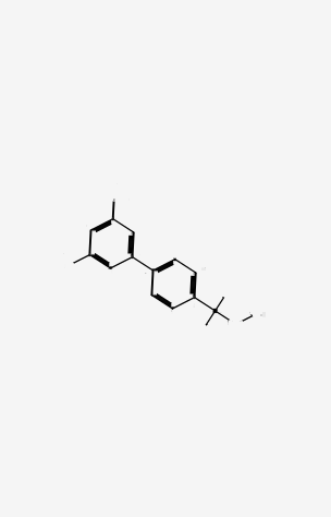 CCC(CC)(O[SiH3])c1ccc(-c2cc(C(F)(F)F)cc(C(F)(F)F)c2)cc1